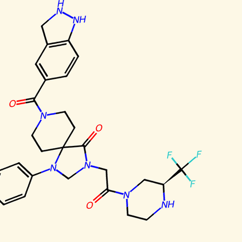 O=C(CN1CN(c2ccccc2)C2(CCN(C(=O)c3ccc4c(c3)CNN4)CC2)C1=O)N1CCN[C@H](C(F)(F)F)C1